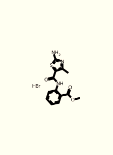 Br.COC(=O)c1ccccc1NC(=O)c1sc(N)nc1C